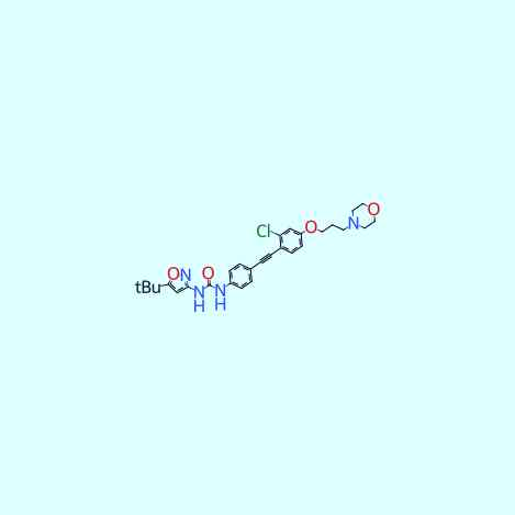 CC(C)(C)c1cc(NC(=O)Nc2ccc(C#Cc3ccc(OCCCN4CCOCC4)cc3Cl)cc2)no1